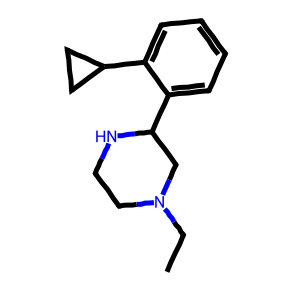 CCN1CCNC(c2ccccc2C2CC2)C1